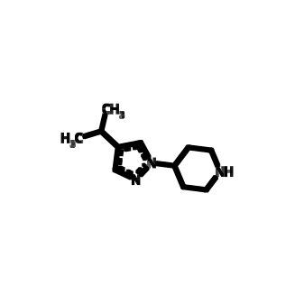 CC(C)c1cnn(C2CCNCC2)c1